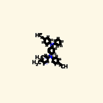 C#Cc1ccc(N(C(/C=C\C=C)=C/C)c2ccc(N(c3ccccc3)c3ccc(C#C)cc3)cc2)cc1